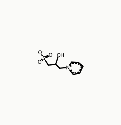 O=S(=O)([O-])CC(O)C[n+]1ccccc1